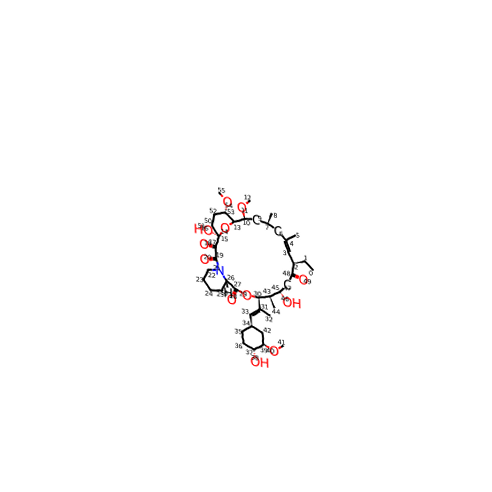 CC[C@@H]1/C=C(\C)C[C@H](C)C[C@H](OC)C2O[C@@](O)(C(=O)C(=O)N3CCCC[C@H]3C(=O)O[C@H](/C(C)=C/[C@@H]3CC[C@@H](O)[C@H](OC)C3)[C@H](C)[C@@H](O)CC1=O)[C@H](C)C[C@@H]2OC